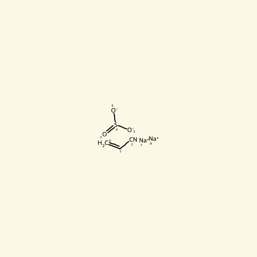 C=CC#N.O=S([O-])[O-].[Na+].[Na+]